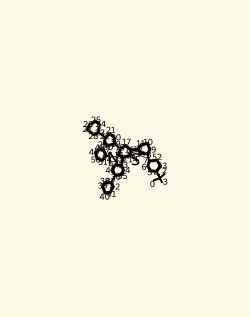 CC(C)(C)c1ccc(-c2cccc3c2sc2c3cc(-c3ccc(-c4ccccc4)cc3)c3c2c2ccc(-c4ccccc4)cc2n3-c2ccccc2)cc1